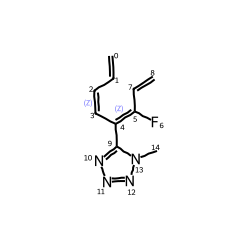 C=C/C=C\C(=C(\F)C=C)c1nnnn1C